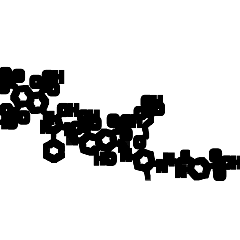 Cc1cc(N=Nc2c(S(=O)(=O)O)cc3c(S(=O)(=O)O)c(N=Nc4c(-c5ccccc5)nn(-c5cc(S(=O)(=O)O)c6cc(S(=O)(=O)O)cc(S(=O)(=O)O)c6c5)c4O)ccc3c2O)c(OCCCS(=O)(=O)O)cc1N=Nc1nc2ccc(S(=O)(=O)O)cc2s1